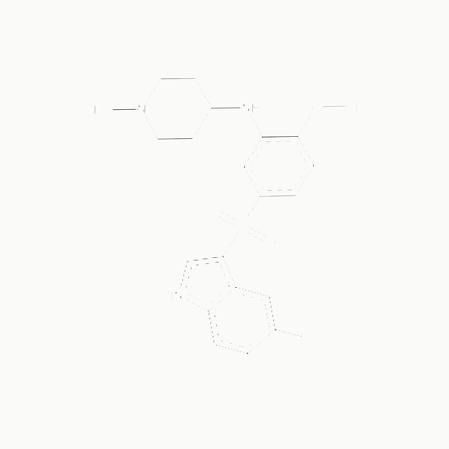 COc1ccc(S(=O)(=O)c2c[nH]c3ccc(F)cc23)cc1NC1CCN(C)CC1